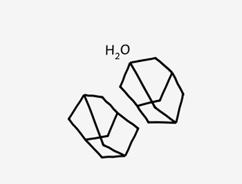 C1C2CC3CC1CC(C2)C3.C1C2CC3CC1CC(C2)C3.O